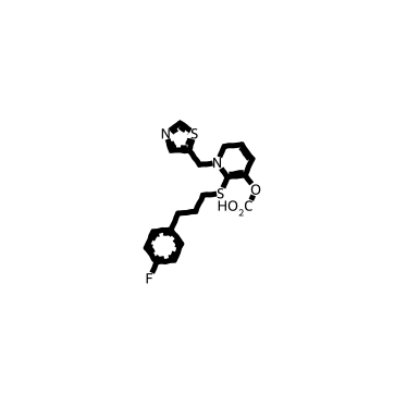 O=C(O)OC1=C(SCCCc2ccc(F)cc2)N(Cc2cncs2)CC=C1